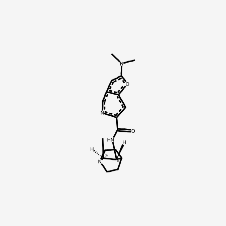 C[C@H]1[C@H](NC(=O)c2cc3oc(N(C)C)cc3cn2)C2CCN1CC2